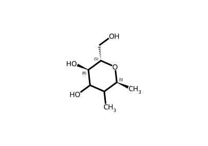 CC1C(O)[C@@H](O)[C@H](CO)O[C@H]1C